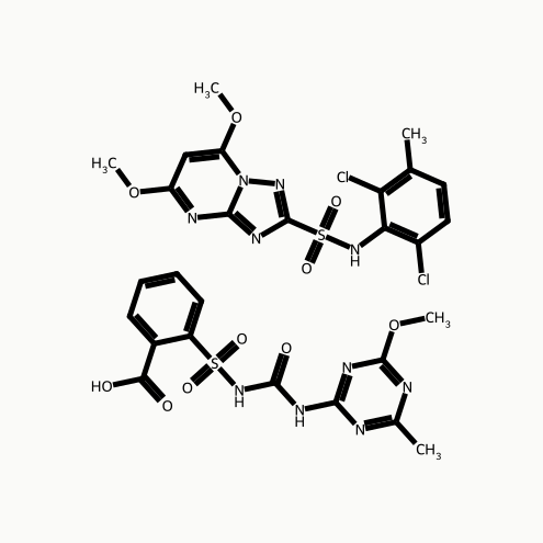 COc1cc(OC)n2nc(S(=O)(=O)Nc3c(Cl)ccc(C)c3Cl)nc2n1.COc1nc(C)nc(NC(=O)NS(=O)(=O)c2ccccc2C(=O)O)n1